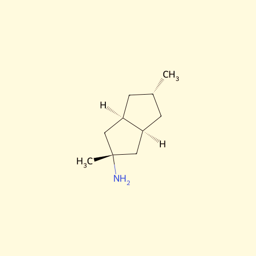 C[C@H]1C[C@@H]2C[C@@](C)(N)C[C@@H]2C1